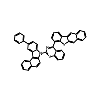 c1ccc(-c2ccc3c(c2)c2c4ccccc4ccc2n3-c2nc(-c3cccc4c3sc3cc5ccccc5cc34)c3ccccc3n2)cc1